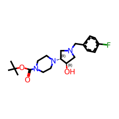 CC(C)(C)OC(=O)N1CCN([C@@H]2CN(Cc3ccc(F)cc3)C[C@H]2O)CC1